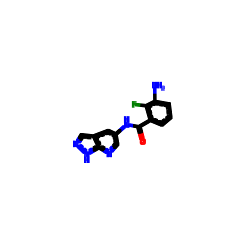 Nc1cccc(C(=O)Nc2cnc3[nH]ncc3c2)c1F